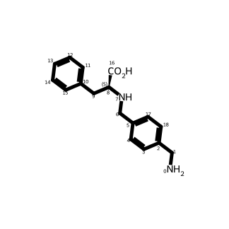 NCc1ccc(CN[C@@H](Cc2ccccc2)C(=O)O)cc1